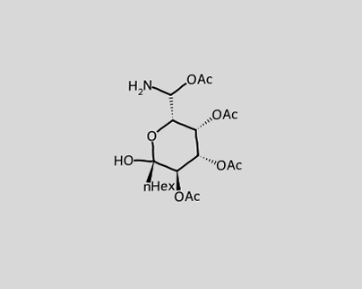 CCCCCC[C@@]1(O)O[C@H](C(N)OC(C)=O)[C@H](OC(C)=O)[C@H](OC(C)=O)[C@H]1OC(C)=O